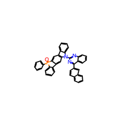 O=P1(c2ccccc2)c2ccccc2-c2cc3c(cc21)c1ccccc1n3-c1nc(-c2ccc3ccccc3c2)c2ccccc2n1